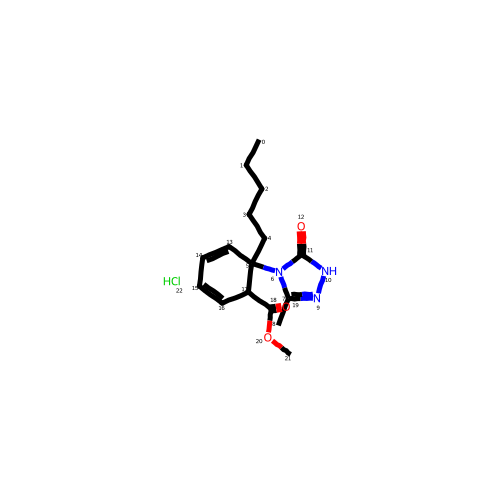 CCCCCC1(n2c(C)n[nH]c2=O)C=CC=CC1C(=O)OC.Cl